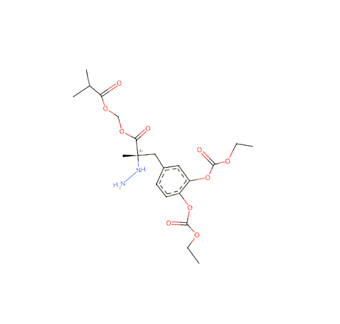 CCOC(=O)Oc1ccc(C[C@](C)(NN)C(=O)OCOC(=O)C(C)C)cc1OC(=O)OCC